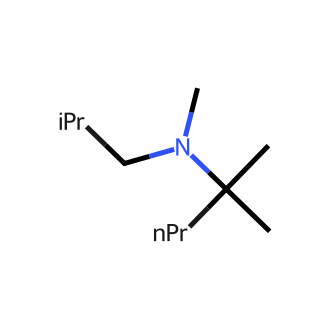 CCCC(C)(C)N(C)CC(C)C